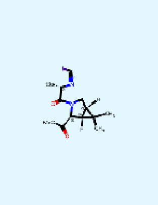 COC(=O)[C@@H]1[C@@H]2[C@H](CN1C(=O)[C@@H](/N=C\I)C(C)(C)C)C2(C)C